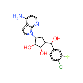 Nc1ccnc2c1ccn2C1CC([C@@H](O)c2ccc(Cl)c(F)c2)[C@@H](O)[C@H]1O